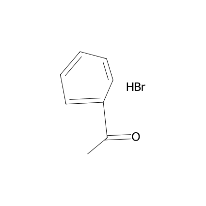 Br.CC(=O)c1ccccc1